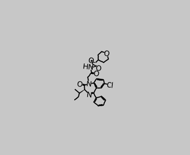 CCC(C)[C@@H]1N=C(c2ccccc2)c2cc(Cl)ccc2N(CC(=O)NS(=O)(=O)C2CCOCC2)C1=O